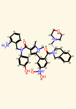 Cc1c(C(=O)N(Cc2ccccc2N)c2ccc(O)cc2)cc(-c2cc([NH+]([O-])O)ccc2C(=O)N2Cc3ccccc3C[C@H]2CN2CCOCC2)n1C